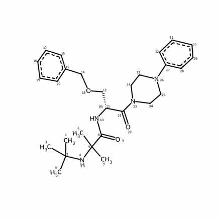 CC(C)(C)NC(C)(C)C(=O)N[C@H](COCc1ccccc1)C(=O)N1CCN(c2ccccc2)CC1